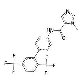 Cn1cncc1C(=O)Nc1ccc(-c2cc(C(F)(F)F)ccc2C(F)(F)F)cc1